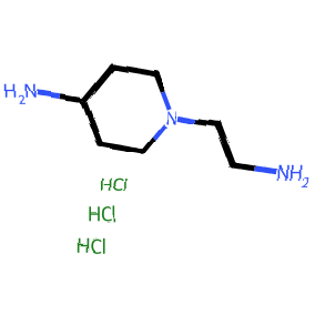 Cl.Cl.Cl.NCCN1CCC(N)CC1